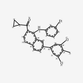 CCc1cccc(Nc2c(C(=O)C3CC3)cnc3ccc(-c4cc(Cl)c(C)c(Cl)c4)cc23)c1